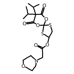 CC(C)C1(C(C)C)C(=O)OC2(OC1=O)SCC(OC(=O)CN1CCOCC1)S2